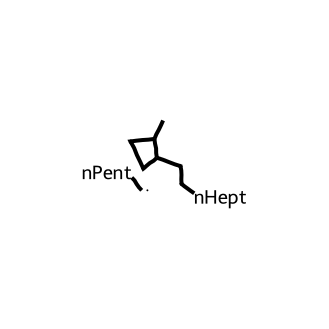 CCCCCCCCCC1CCC1C.[CH2]CCCCC